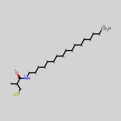 CC(CS)C(=O)NCCCCCCCCCCCCCCCCC(=O)O